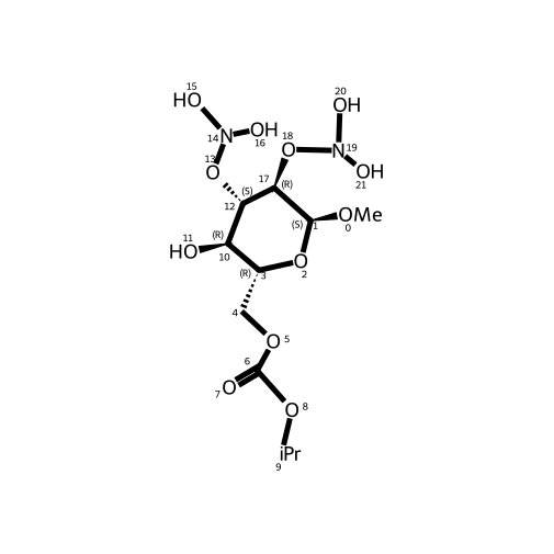 CO[C@H]1O[C@H](COC(=O)OC(C)C)[C@@H](O)[C@H](ON(O)O)[C@H]1ON(O)O